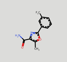 Cc1oc(-c2cccc(C(F)(F)F)c2)nc1C(N)=O